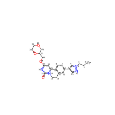 CC(C)CCn1cc(-c2ccc3c(c2)CCn2c-3cc(OCC3COCCO3)nc2=O)cn1